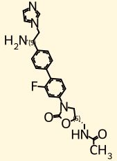 CC(=O)NC[C@H]1CN(c2ccc(-c3ccc([C@H](N)Cn4ccnc4)cc3)c(F)c2)C(=O)O1